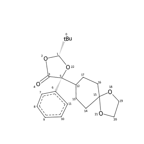 CC(C)(C)[C@H]1OC(=O)[C@](c2ccccc2)(C2CCC3(CC2)OCCO3)O1